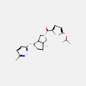 O=C(c1ccc(OC(F)F)s1)N1C[C@@H]2CC[C@@H](Nc3ccc(Cl)nn3)[C@@H]2C1